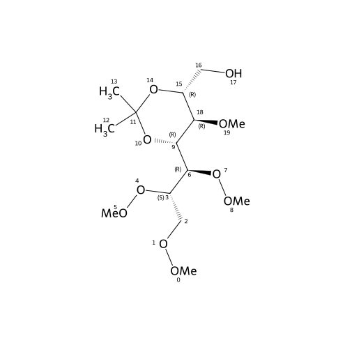 COOC[C@H](OOC)[C@H](OOC)[C@@H]1OC(C)(C)O[C@H](CO)[C@H]1OC